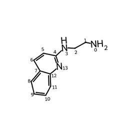 NCCNc1ccc2ccccc2n1